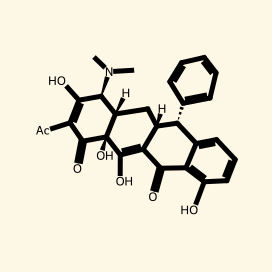 CC(=O)C1=C(O)[C@@H](N(C)C)[C@@H]2C[C@H]3C(=C(O)[C@]2(O)C1=O)C(=O)c1c(O)cccc1[C@H]3c1ccccc1